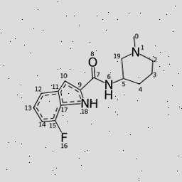 CN1CCCC(NC(=O)c2cc3cccc(F)c3[nH]2)C1